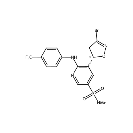 CNS(=O)(=O)c1cnc(Nc2ccc(C(F)(F)F)cc2)c([C@@H]2CC(Br)=NO2)c1